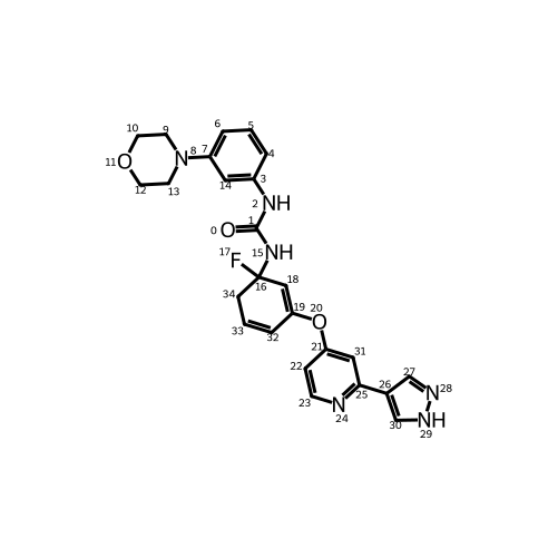 O=C(Nc1cccc(N2CCOCC2)c1)NC1(F)C=C(Oc2ccnc(-c3cn[nH]c3)c2)C=CC1